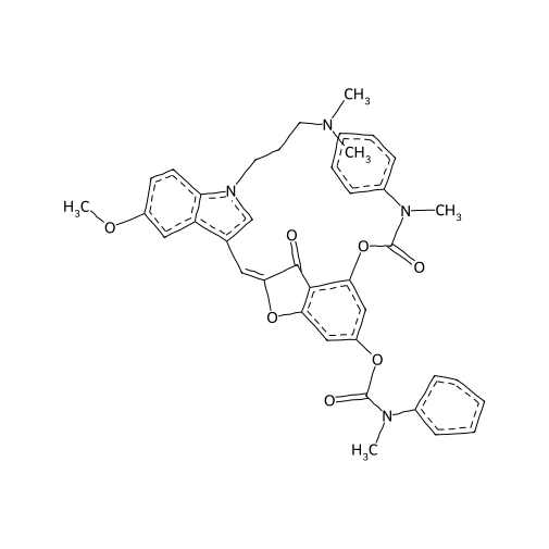 COc1ccc2c(c1)c(C=C1Oc3cc(OC(=O)N(C)c4ccccc4)cc(OC(=O)N(C)c4ccccc4)c3C1=O)cn2CCCN(C)C